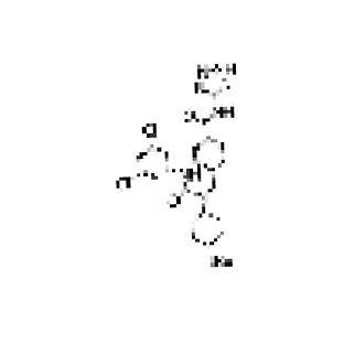 CC(C)(C)C1CCC(N(Cc2ccc(C(=O)Nc3nn[nH]n3)cc2)C(=O)Nc2cc(Cl)cc(Cl)c2)CC1